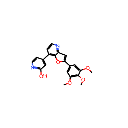 COc1cc(-c2cc3nccc(-c4ccnc(O)c4)c3o2)cc(OC)c1OC